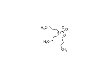 CCCCOC1([As](CCCC)CCCC)OO1